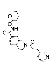 O=C(NOC1CCCCO1)c1ccc2c(c1)CN(C(=O)CCc1cccnc1)CC2